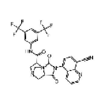 N#Cc1ccc(N2C(=O)C3CN4CC(C(=O)Nc5cc(C(F)(F)F)cc(C(F)(F)F)c5)[N+]3(C4)C2=O)c2cccnc12